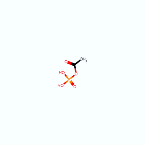 BC(=O)OP(=O)(O)O